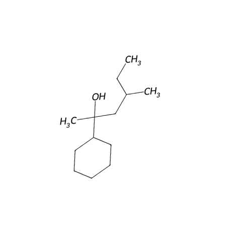 CCC(C)CC(C)(O)C1CCCCC1